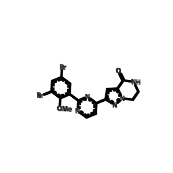 COc1c(Br)cc(Br)cc1-c1nccc(-c2cc3n(n2)CCNC3=O)n1